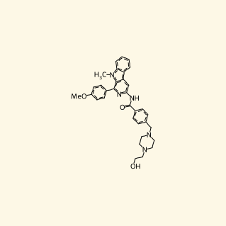 COc1ccc(-c2nc(NC(=O)c3ccc(CN4CCN(CCO)CC4)cc3)cc3c4ccccc4n(C)c23)cc1